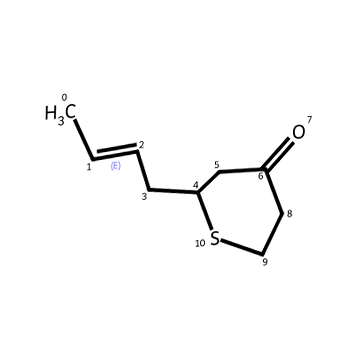 C/C=C/CC1CC(=O)CCS1